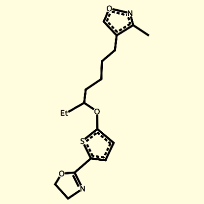 CCC(CCCCc1conc1C)Oc1ccc(C2=NCCO2)s1